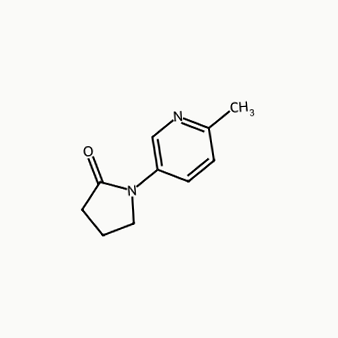 Cc1ccc(N2CCCC2=O)cn1